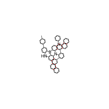 Cc1ccc(-c2ccc3c(c2)B2c4ccc(N(c5ccccc5)c5ccccc5)cc4N(c4c(-c5cccc(-c6ccccc6)c5)cccc4-c4cccc(-c5ccccc5)c4)c4cc(-c5ccccc5)cc(c42)N3)cc1